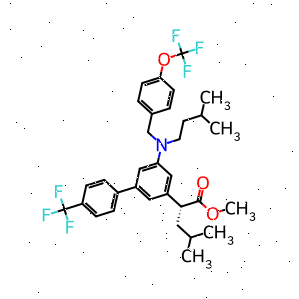 COC(=O)[C@H](CC(C)C)c1cc(-c2ccc(C(F)(F)F)cc2)cc(N(CCC(C)C)Cc2ccc(OC(F)(F)F)cc2)c1